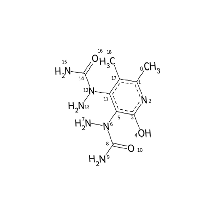 Cc1nc(O)c(N(N)C(N)=O)c(N(N)C(N)=O)c1C